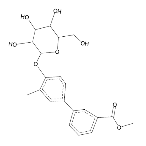 COC(=O)c1cccc(-c2ccc(OC3OC(CO)C(O)C(O)C3O)c(C)c2)c1